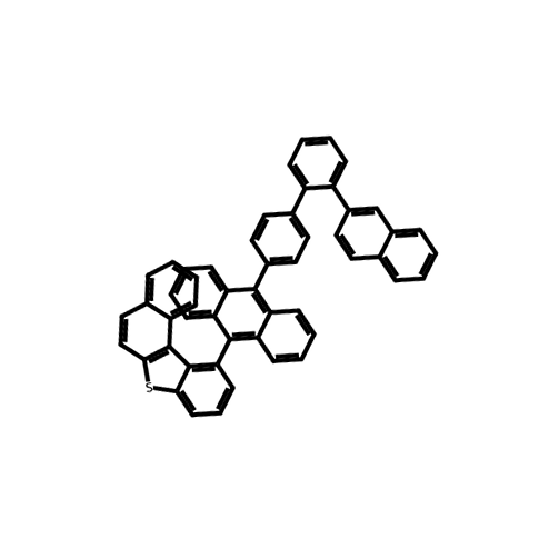 c1ccc(-c2ccc3ccccc3c2)c(-c2ccc(-c3c4ccccc4c(-c4cccc5sc6ccc7ccccc7c6c45)c4ccccc34)cc2)c1